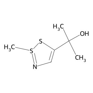 CS1=NC=C(C(C)(C)O)S1